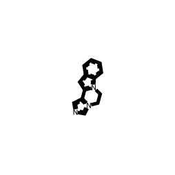 c1ccc2c(c1)cc1n2CCn2cncc2-1